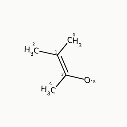 CC(C)=C(C)[O]